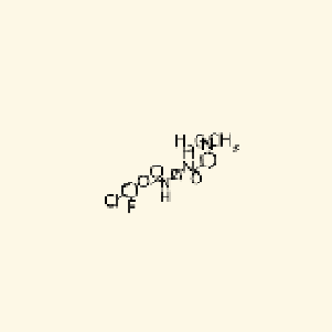 CN(C)c1cccc(C(=O)NC23CC(NC(=O)COc4ccc(Cl)c(F)c4)(C2)C3)c1